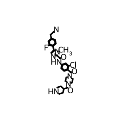 Cn1c(-c2ccc(CC#N)cc2F)cnc1C(=O)Nc1ccc(C(=O)N2CCN(C(=O)C3CCNCC3)CC2)c(Cl)c1